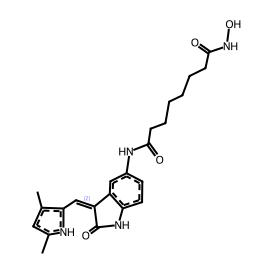 Cc1cc(C)c(/C=C2\C(=O)Nc3ccc(NC(=O)CCCCCCC(=O)NO)cc32)[nH]1